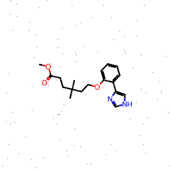 COC(=O)CCC(C)(C)CCOc1ccccc1-c1c[nH]cn1